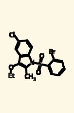 [CH2]COc1c(C)n(S(=O)(=O)c2ccccc2Br)c2ccc(Cl)cc12